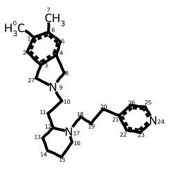 Cc1cc2c(cc1C)CN(CCC1CCCCN1CCCc1ccncc1)C2